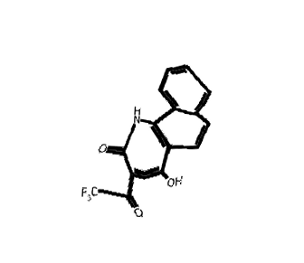 O=C(c1c(O)c2ccc3ccccc3c2[nH]c1=O)C(F)(F)F